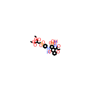 CCOC(=O)C(CCS(=O)(=O)c1ccc(Nc2cc(S(=O)(=O)O)c3[nH]c(=O)c(C(C)=O)c4c3c2C(=O)c2ccccc2-4)cc1)C(=O)OCC